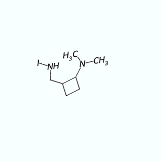 CN(C)C1CCC1CNI